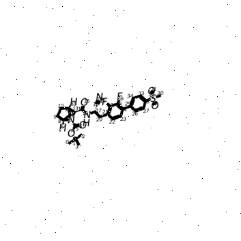 CC(C)(C)OC(=O)N1[C@@H]2CC[C@@H](C2)[C@H]1C(=O)N[C@H](C#N)Cc1ccc(-c2ccc(S(C)(=O)=O)cc2)c(F)c1F